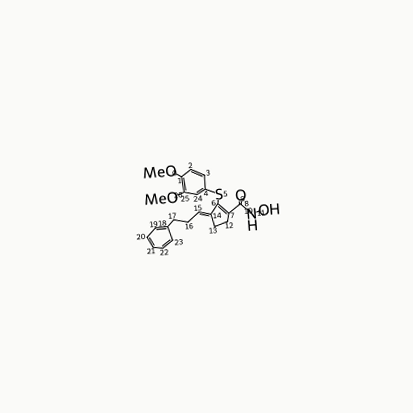 COc1ccc(SC2=C(C(=O)NO)CCC2=CCCc2ccccc2)cc1OC